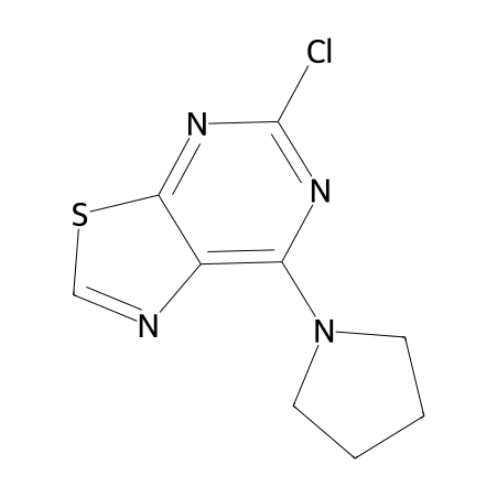 Clc1nc(N2CCCC2)c2ncsc2n1